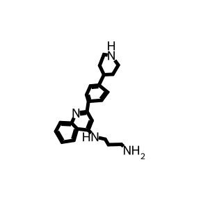 NCCCNc1cc(-c2ccc(C3CCNCC3)cc2)nc2ccccc12